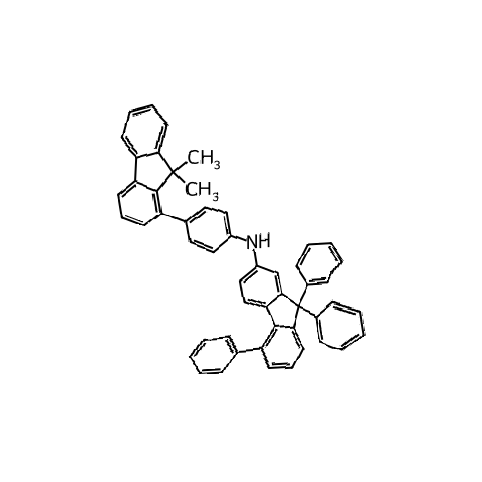 CC1(C)c2ccccc2-c2cccc(-c3ccc(Nc4ccc5c(c4)C(c4ccccc4)(c4ccccc4)c4cccc(-c6ccccc6)c4-5)cc3)c21